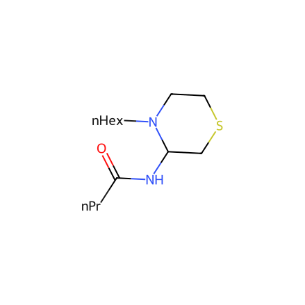 [CH2]CCCCCN1CCSCC1NC(=O)CCC